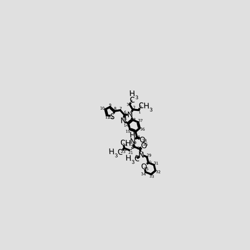 CCC(CC)n1c(Cc2cccs2)nc2cc(C(=O)N[C@@H](CC(C)C)C(=O)N(C)CC3CCCCO3)ccc21